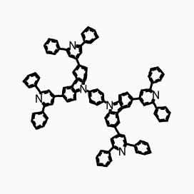 c1ccc(-c2cc(-c3ccc4c(c3)c3cc(-c5cc(-c6ccccc6)nc(-c6ccccc6)c5)ccc3n4-c3ccc(-n4c5ccc(-c6cc(-c7ccccc7)nc(-c7ccccc7)c6)cc5c5cc(-c6cc(-c7ccccc7)nc(-c7ccccc7)c6)ccc54)cc3)cc(-c3ccccc3)n2)cc1